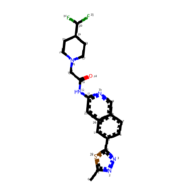 Cc1nnc(-c2ccc3cnc(NC(=O)CN4CCC(C(F)F)CC4)cc3c2)s1